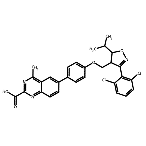 Cc1nc(C(=O)O)nc2ccc(-c3ccc(OCC4C(c5c(Cl)cccc5Cl)=NOC4C(C)C)cc3)cc12